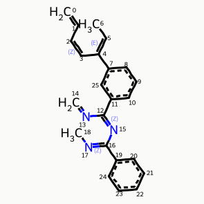 C=C/C=C\C(=C/C)c1cccc(/C(N=C)=N/C(=N\C)c2ccccc2)c1